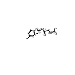 Cc1ccc2nc(NC(=O)CNC(C)C)sc2c1